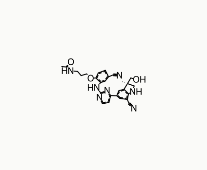 CC(=O)NCCCOc1ccc(C#N)cc1Nc1nccc(-c2cc(C#N)c3c(c2)[C@@](C)(CO)CN3)n1